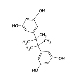 CC(C)(c1cc(O)cc(O)c1)C(C)(C)c1cc(O)cc(O)c1